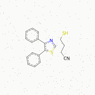 N#CCCCS.c1ccc(-c2ncsc2-c2ccccc2)cc1